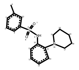 Cc1cccc(S(=O)(=O)Nc2ccccc2N2CCCCC2)c1